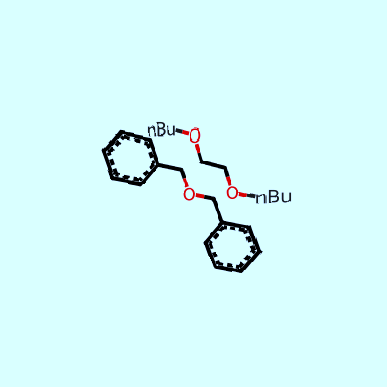 CCCCOCCOCCCC.c1ccc(COCc2ccccc2)cc1